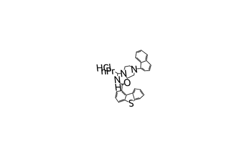 CCCC(NC(=O)c1cccc2sc3ccccc3c12)N1CCN(c2cccc3ccccc23)CC1.Cl